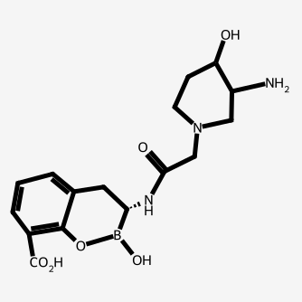 NC1CN(CC(=O)N[C@H]2Cc3cccc(C(=O)O)c3OB2O)CCC1O